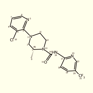 C[C@@H]1CN(c2ncccc2Cl)CCN1C(=O)Nc1ccc(C(F)(F)F)cn1